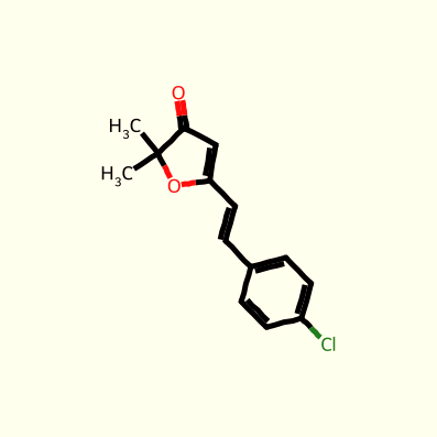 CC1(C)OC(/C=C/c2ccc(Cl)cc2)=CC1=O